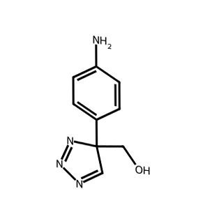 Nc1ccc(C2(CO)C=NN=N2)cc1